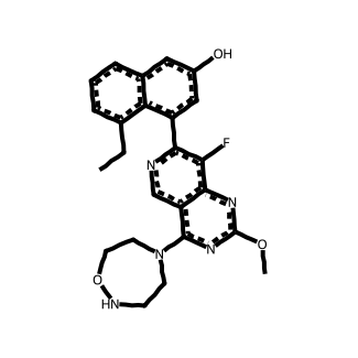 CCc1cccc2cc(O)cc(-c3ncc4c(N5CCNOCC5)nc(OC)nc4c3F)c12